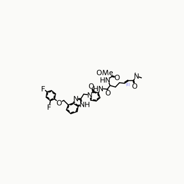 COC(=O)NC(CC/C=C/C(=O)N(C)C)C(=O)Nc1cccn(Cc2nc3c(COc4ccc(F)cc4F)cccc3[nH]2)c1=O